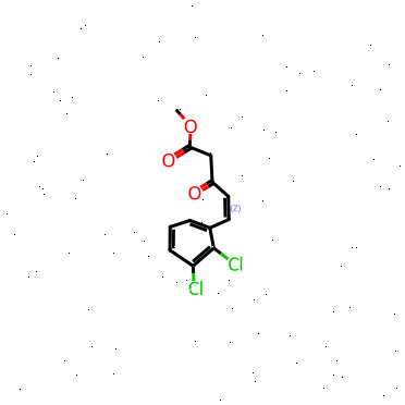 COC(=O)CC(=O)/C=C\c1cccc(Cl)c1Cl